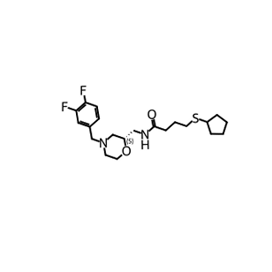 O=C(CCCSC1CCCC1)NC[C@H]1CN(Cc2ccc(F)c(F)c2)CCO1